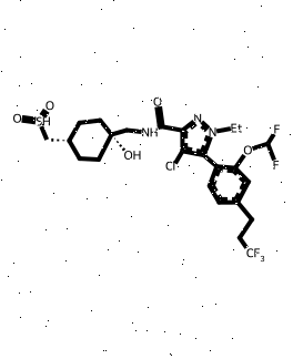 CCn1nc(C(=O)NC[C@]2(O)CC[C@@H](C[SH](=O)=O)CC2)c(Cl)c1-c1ccc(CCC(F)(F)F)cc1OC(F)F